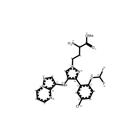 COC(=O)C(N)CCn1cc(Nc2cnn3cccnc23)c(-c2cc(Cl)ccc2OC(F)F)n1